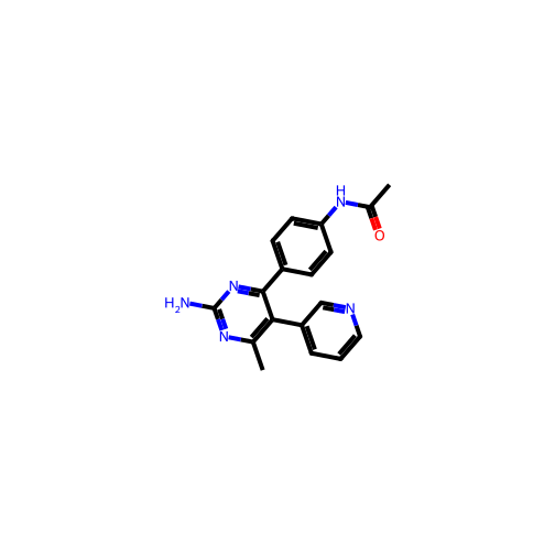 CC(=O)Nc1ccc(-c2nc(N)nc(C)c2-c2cccnc2)cc1